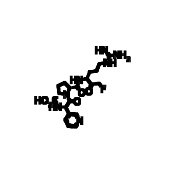 N=C(N)NCCC[C@H](NC(=O)[C@@H]1CCCN1C(=O)[C@@H](NC(=O)O)c1cccnc1)C(=O)CF